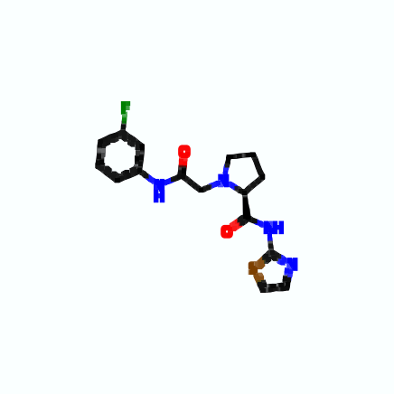 O=C(CN1CCC[C@H]1C(=O)Nc1nccs1)Nc1cccc(F)c1